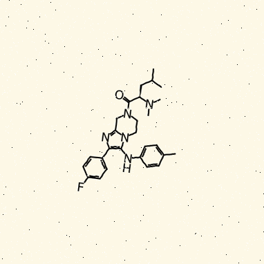 Cc1ccc(Nc2c(-c3ccc(F)cc3)nc3n2CCN(C(=O)[C@@H](CC(C)C)N(C)C)C3)cc1